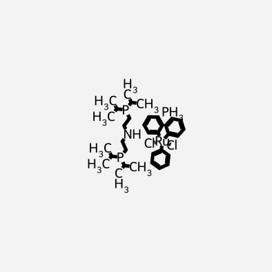 CC(C)P(CCNCCP(C(C)C)C(C)C)C(C)C.P.[Cl][Ru]([Cl])([c]1ccccc1)([c]1ccccc1)[c]1ccccc1